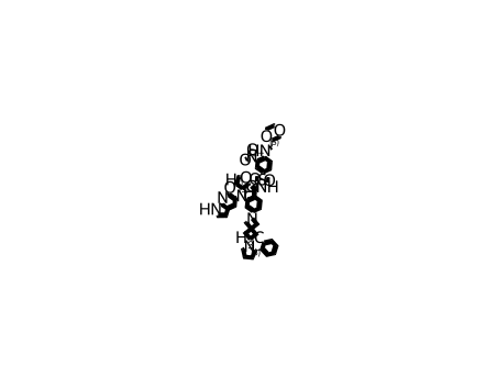 Cc1ccccc1[C@@H]1CCCN1C1CC2(C1)CN(c1ccc(C(=O)NS(=O)(=O)c3ccc(NC[C@H]4COCCO4)c([N+](=O)[O-])c3)c(N3c4cc5cc[nH]c5nc4O[C@H]4COC[C@@H]43)c1)C2